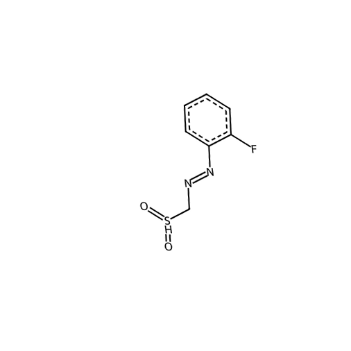 O=[SH](=O)CN=Nc1ccccc1F